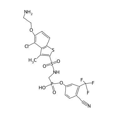 Cc1c(S(=O)(=O)NCP(=O)(O)Oc2ccc(C#N)c(C(F)(F)F)c2)sc2ccc(OCCN)c(Cl)c12